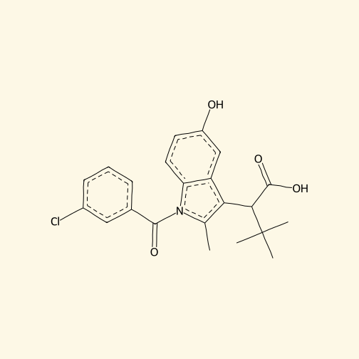 Cc1c(C(C(=O)O)C(C)(C)C)c2cc(O)ccc2n1C(=O)c1cccc(Cl)c1